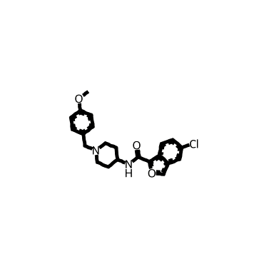 COc1ccc(CN2CCC(NC(=O)c3occ4cc(Cl)ccc34)CC2)cc1